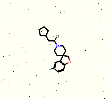 C[C@H](CC1CCCC1)N1CCC2(CC1)COc1ccc(F)cc12